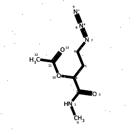 CNC(=O)C(CCN=[N+]=[N-])OC(C)=O